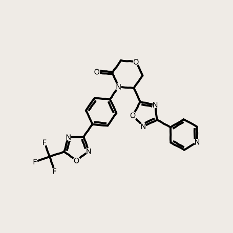 O=C1COCC(c2nc(-c3ccncc3)no2)N1c1ccc(-c2noc(C(F)(F)F)n2)cc1